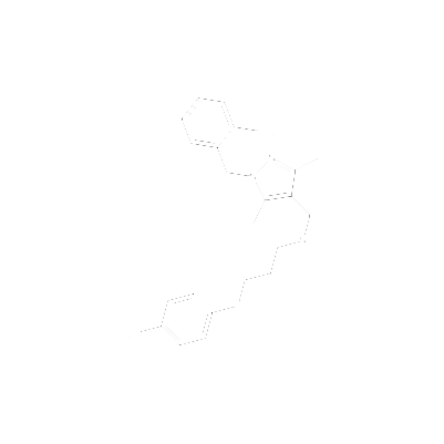 Cc1nn(Cc2ccccc2C(F)(F)F)c(C)c1CN(C)CC(O)COc1ccc(C(F)(F)F)cc1